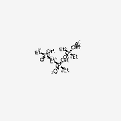 CCP(=O)(O)CC.CCP(=O)(O)CC.CCP(=O)(O)CC.[Al]